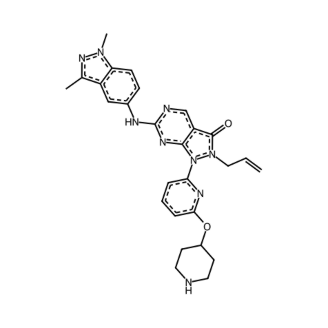 C=CCn1c(=O)c2cnc(Nc3ccc4c(c3)c(C)nn4C)nc2n1-c1cccc(OC2CCNCC2)n1